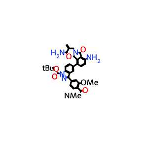 C=C(CN1Cc2c(-c3ccc4c(c3)c(-c3ccc(C(=O)NC)c(OC)c3)nn4C(=O)OC(C)(C)C)ccc(N)c2C1=O)C(N)=O